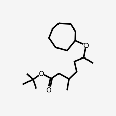 CC(CCC(C)OC1CCCCCCC1)CC(=O)OC(C)(C)C